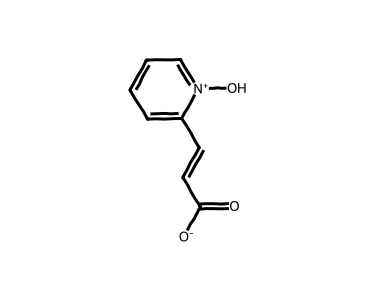 O=C([O-])C=Cc1cccc[n+]1O